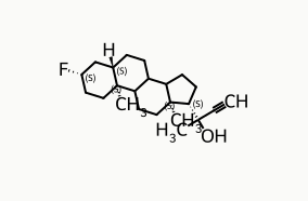 C#CC(C)(O)[C@H]1CCC2C3CC[C@H]4C[C@@H](F)CC[C@]4(C)C3CC[C@@]21C